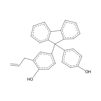 C=CCc1cc(C2(c3ccc(O)cc3)c3ccccc3-c3ccccc32)ccc1O